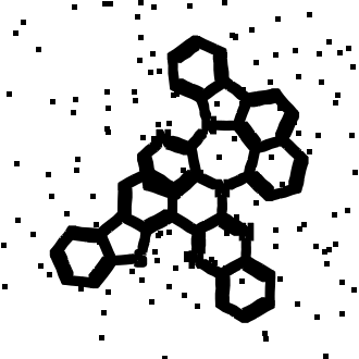 c1ccc2nc(-n3c4cccc5ccc6c7ccccc7n(c7ncccc73)c6c54)c(-c3cccc4c3sc3ccccc34)nc2c1